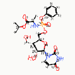 CC(C)OC(=O)[C@@H](C)N[P@@](=O)(OC[C@H]1O[C@@H](n2ccc(=O)[nH]c2=O)[C@H](O)[C@@H]1CO)Oc1ccccc1